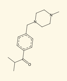 CC(C)C(=O)c1ccc(CN2CCN(C)CC2)cc1